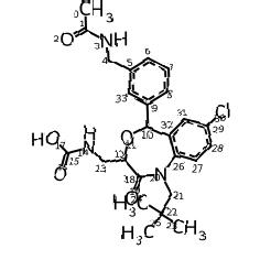 CC(=O)NCc1cccc(C2OC(CNC(=O)O)C(=O)N(CC(C)(C)C)c3ccc(Cl)cc32)c1